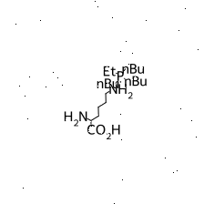 CCCC[P](CC)(CCCC)CCCC.NCCCCC(N)C(=O)O